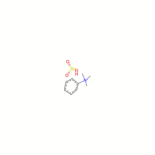 C[N+](C)(C)c1ccccc1.O=[SH](=O)O